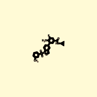 Cc1cccc(S(=O)(=O)n2ncc3cc(-c4cc(C(=O)NC5CC5)cc(F)c4C)ccc32)c1